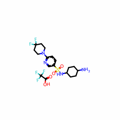 NC1CCC(NS(=O)(=O)c2ccc(N3CCC(F)(F)CC3)nc2)CC1.O=C(O)C(F)(F)F